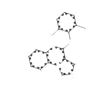 Cc1cccc(C)c1Nc1nc2ccccc2n2cncc12